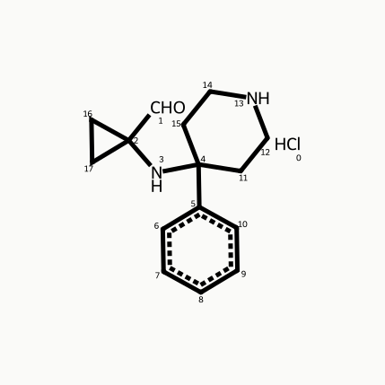 Cl.O=CC1(NC2(c3ccccc3)CCNCC2)CC1